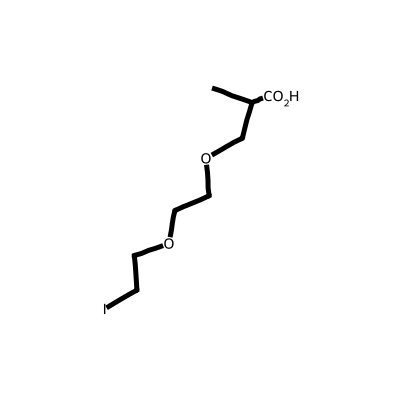 CC(COCCOCCI)C(=O)O